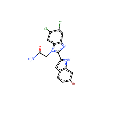 NC(=O)Cn1c(-c2cc3ccc(Br)cc3[nH]2)nc2cc(Cl)c(Cl)cc21